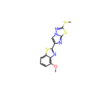 COc1cccc2sc(-c3cn4nc(SC)sc4n3)nc12